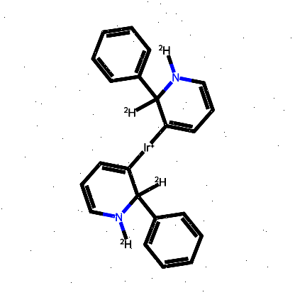 [2H]N1C=CC=[C]([Ir+][C]2=CC=CN([2H])C2([2H])c2ccccc2)C1([2H])c1ccccc1